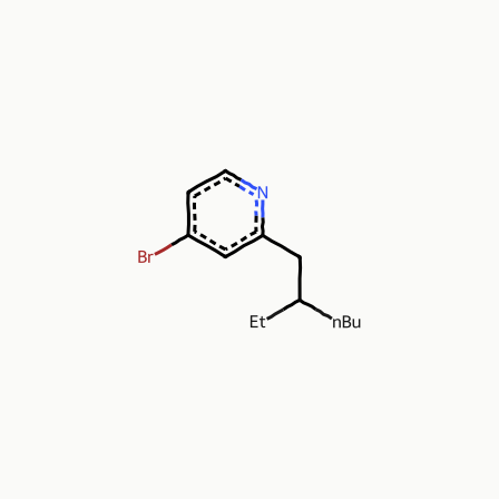 CCCCC(CC)Cc1cc(Br)ccn1